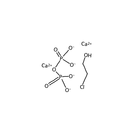 O=P([O-])([O-])OP(=O)([O-])[O-].OCCCl.[Ca+2].[Ca+2]